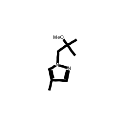 COC(C)(C)Cn1cc(C)cn1